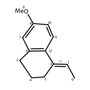 C/C=C1\CCCc2cc(OC)ccc21